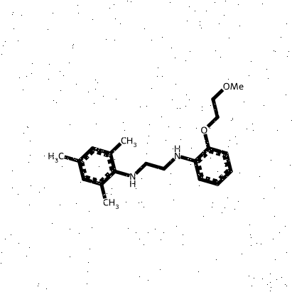 COCCOc1ccccc1NCCNc1c(C)cc(C)cc1C